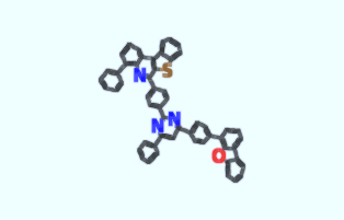 c1ccc(-c2cc(-c3ccc(-c4cccc5c4oc4ccccc45)cc3)nc(-c3ccc(-c4nc5c(-c6ccccc6)cccc5c5c4sc4ccccc45)cc3)n2)cc1